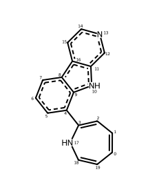 C1=CC=C(c2cccc3c2[nH]c2cnccc23)NC=C1